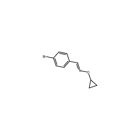 Brc1ccc(/[C]=N/OC2CC2)cc1